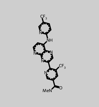 CNC(=O)c1cnc(-c2cnc3c(Nc4ccc(C(F)(F)F)cn4)ccnc3n2)c(C(F)(F)F)c1